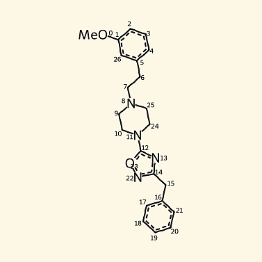 COc1cccc(CCN2CCN(c3nc(Cc4ccccc4)no3)CC2)c1